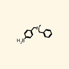 Bc1ccc(CN(C)Cc2ccccc2)cc1